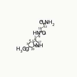 COc1ccc2c(CCNC(=O)CCC(N)=O)c[nH]c2c1